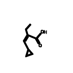 CCC(=CC1CC1)C(=O)O